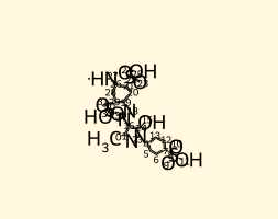 Cc1nn(-c2ccc(S(=O)(=O)O)cc2)c(O)c1N=Nc1cc(S(=O)(=O)O)c([NH])cc1S(=O)(=O)O